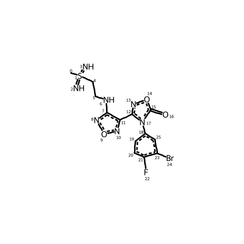 CS(=N)(=N)CCNc1nonc1-c1noc(=O)n1-c1ccc(F)c(Br)c1